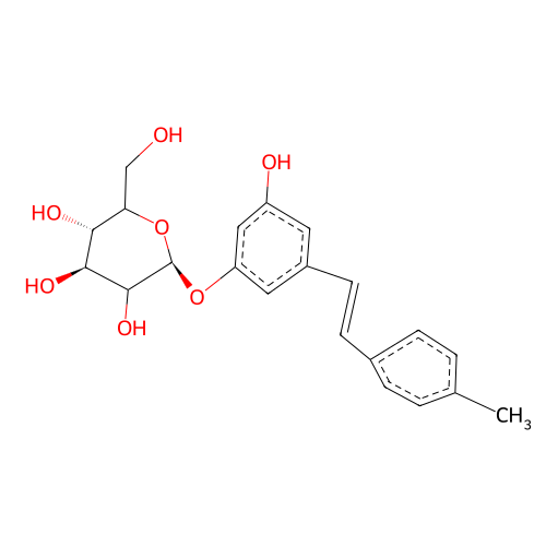 Cc1ccc(/C=C/c2cc(O)cc(O[C@@H]3OC(CO)[C@@H](O)[C@H](O)C3O)c2)cc1